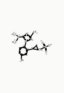 CC(C)c1ccc(-n2nc(C(F)(F)F)nc2N(C)C)c(C2CC2)c1.O=S(=O)(Cl)Cl